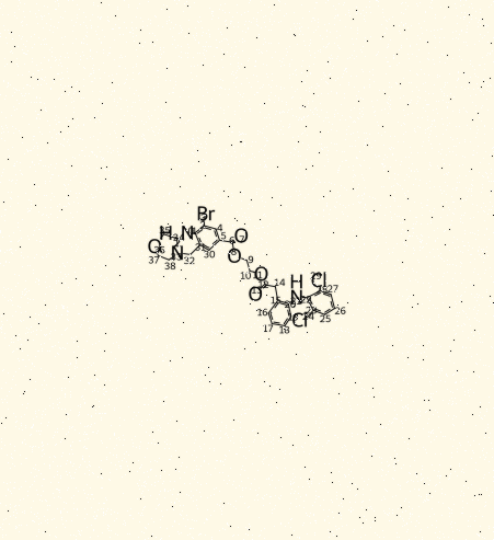 Nc1c(Br)cc(C(=O)OCCOC(=O)Cc2ccccc2Nc2c(Cl)cccc2Cl)cc1CN1CCOCC1